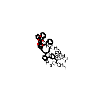 C=C1CC2C(CCc3ccc4c(oc5ccccc54)c3-c3n(-c4c(-c5ccccc5)ccc5ccccc45)c4ccccc4[n+]31)c1ccccc1-c1cc(CC(C)C)c([Si](C)(C)C)c[n+]12